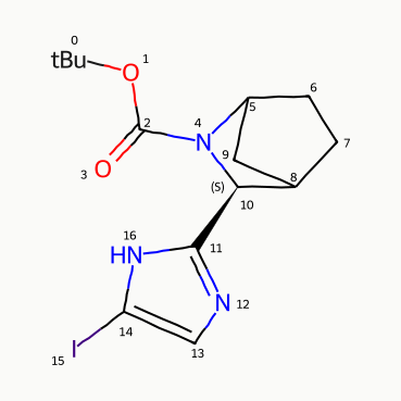 CC(C)(C)OC(=O)N1C2CCC(C2)[C@H]1c1ncc(I)[nH]1